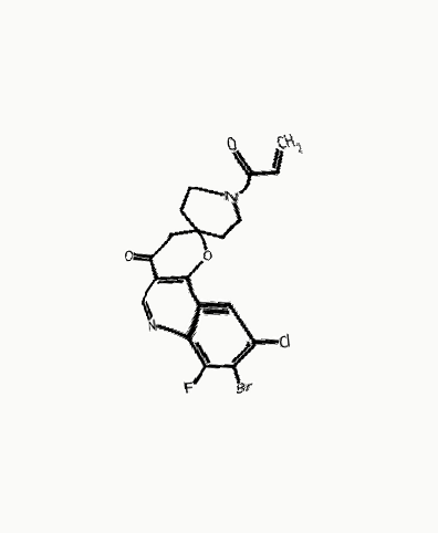 C=CC(=O)N1CCC2(CC1)CC(=O)c1cnc3c(F)c(Br)c(Cl)cc3c1O2